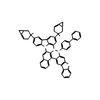 CC1(c2ccc3c(c2)c2cc(C4(C)CC=C5CC5C4)cc4c2n3-c2cc3ccccc3c3c2B4N(c2ccc(-c4ccccc4)cc2)c2cc4sc5ccccc5c4cc2-3)CC=C2CC2C1